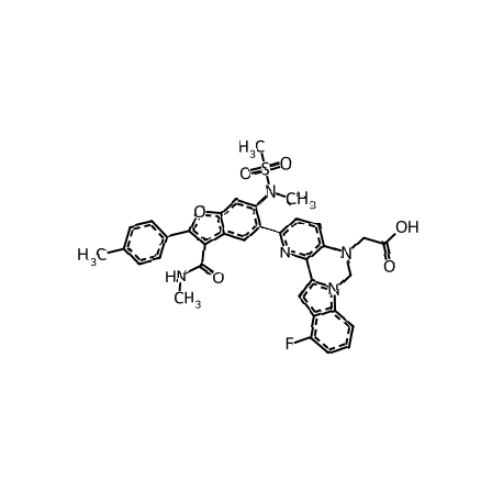 CNC(=O)c1c(-c2ccc(C)cc2)oc2cc(N(C)S(C)(=O)=O)c(-c3ccc4c(n3)-c3cc5c(F)cccc5n3CN4CC(=O)O)cc12